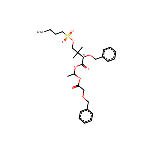 CC(=O)NCCCS(=O)(=O)OCC(C)(C)[C@@H](OCc1ccccc1)C(=O)OC(C)OC(=O)COCc1ccccc1